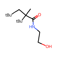 CC(C)(C)CC(C)(C(=O)NCCO)C(C)(C)C